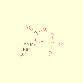 O=C([O-])[O-].O=S(=O)([O-])[O-].[Cu+2].[Na+].[Na+]